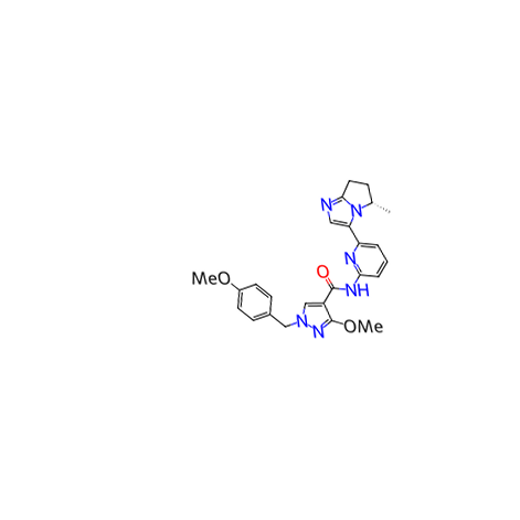 COc1ccc(Cn2cc(C(=O)Nc3cccc(-c4cnc5n4[C@@H](C)CC5)n3)c(OC)n2)cc1